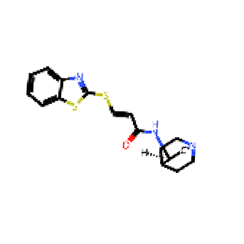 O=C(/C=C/Sc1nc2ccccc2s1)N[C@H]1CN2CCC1CC2